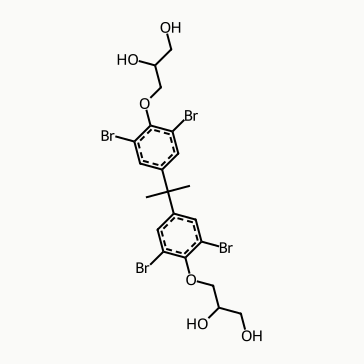 CC(C)(c1cc(Br)c(OCC(O)CO)c(Br)c1)c1cc(Br)c(OCC(O)CO)c(Br)c1